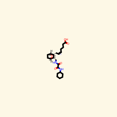 O=C(O)CCC/C=C\C[C@@H]1[C@H](CNC(=O)C(=O)NC2CCCCC2)[C@@H]2CC[C@H]1O2